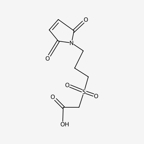 O=C(O)CS(=O)(=O)CCCN1C(=O)C=CC1=O